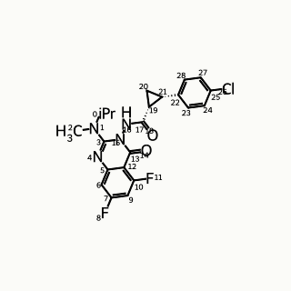 CC(C)N(C)c1nc2cc(F)cc(F)c2c(=O)n1NC(=O)[C@@H]1C[C@@H]1c1ccc(Cl)cc1